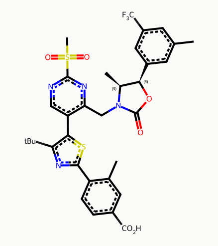 Cc1cc([C@H]2OC(=O)N(Cc3nc(S(C)(=O)=O)ncc3-c3sc(-c4ccc(C(=O)O)cc4C)nc3C(C)(C)C)[C@H]2C)cc(C(F)(F)F)c1